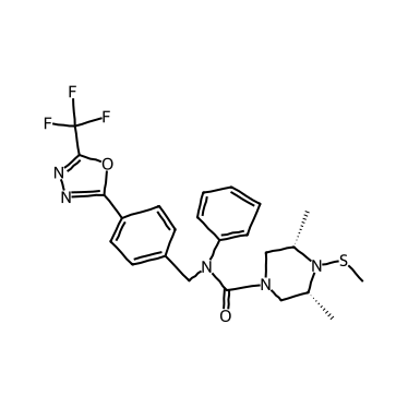 CSN1[C@H](C)CN(C(=O)N(Cc2ccc(-c3nnc(C(F)(F)F)o3)cc2)c2ccccc2)C[C@@H]1C